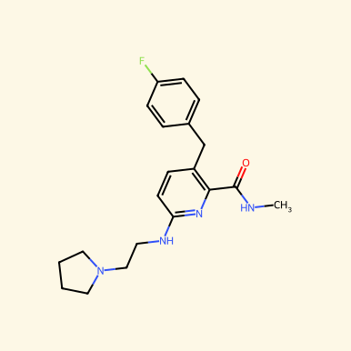 CNC(=O)c1nc(NCCN2CCCC2)ccc1Cc1ccc(F)cc1